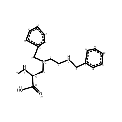 CN[C@@H](CN(CCNCc1ccccc1)Cc1ccccc1)C(=O)O